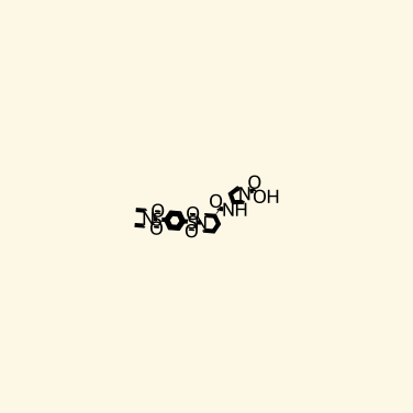 CCN(CC)S(=O)(=O)c1ccc(S(=O)(=O)N2CCC[C@@H](C(=O)N[C@H]3CCN(C(=O)O)C3)C2)cc1